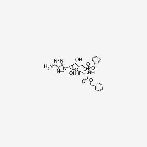 Cc1nc(N)c2ncn([C@H]3C4[C@@H](O)[C@@H](COP(=O)(N[C@H](C(=O)OCc5ccccc5)C(C)C)Oc5ccccc5)OC43O)c2n1